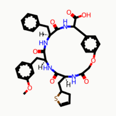 COc1cccc(C[C@@H]2NC(=O)[C@H](CC3CC=CS3)NC(=O)COc3ccc(cc3)C(C(=O)O)NC(=O)[C@H](Cc3ccccc3)NC2=O)c1